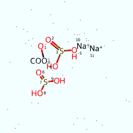 O=C([O-])[O-].O=S(O)O.O=S(O)O.[Na+].[Na+]